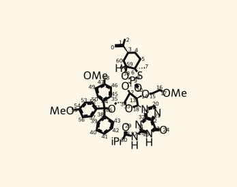 C=C(C)[C@H]1CC[C@@]2(C)S[P@@](=O)(O[C@H]3[C@@H](OCCOC)[C@H](n4cnc5c(=O)[nH]c(NC(=O)C(C)C)nc54)O[C@@H]3COC(c3ccccc3)(c3ccc(OC)cc3)c3ccc(OC)cc3)O[C@@H]2C1